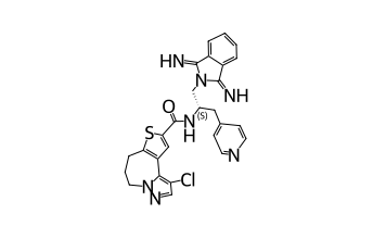 N=C1c2ccccc2C(=N)N1C[C@H](Cc1ccncc1)NC(=O)c1cc2c(s1)CCCn1ncc(Cl)c1-2